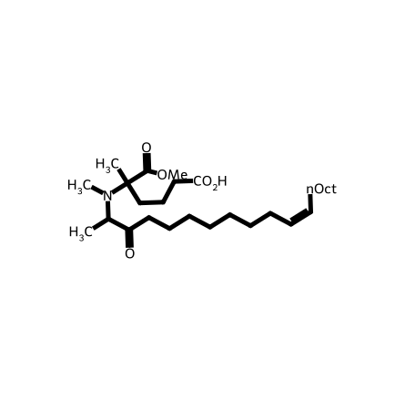 CCCCCCCC/C=C\CCCCCCCC(=O)C(C)N(C)C(C)(CCCC(=O)O)C(=O)OC